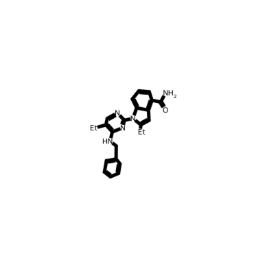 CCc1cnc(-n2c(CC)cc3c(C(N)=O)cccc32)nc1NCc1ccccc1